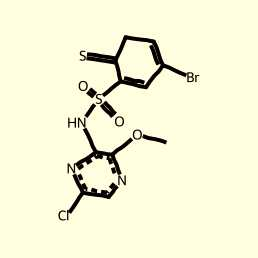 COc1ncc(Cl)nc1NS(=O)(=O)C1=CC(Br)=CCC1=S